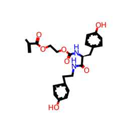 C=C(C)C(=O)OCCOC(=O)N[C@@H](Cc1ccc(O)cc1)C(=O)NCCc1ccc(O)cc1